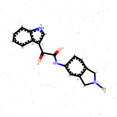 CCN1Cc2ccc(NC(=O)C(=O)c3c[nH]c4ccccc34)cc2C1